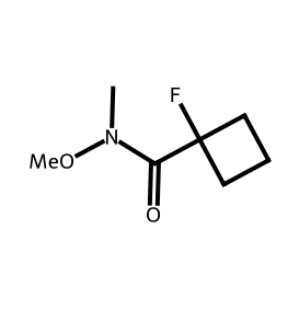 CON(C)C(=O)C1(F)CCC1